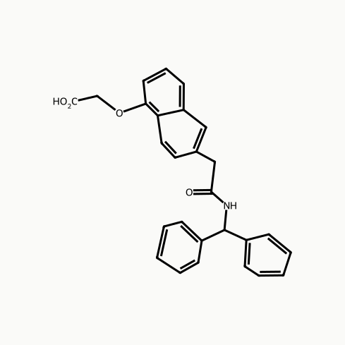 O=C(O)COc1cccc2cc(CC(=O)NC(c3ccccc3)c3ccccc3)ccc12